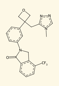 Cn1cnnc1CC1(c2cccc(N3Cc4c(cccc4C(F)(F)F)C3=O)c2)COC1